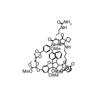 COC(=O)C1C(c2ccccc2)C2(c3ccc(OC)cc3)Oc3cc(O[C@@H]4O[C@@H]([C@H]5COC(c6ccc(NC(=O)[C@H](CCCNC(N)=O)NC(=O)C7(C(=O)NCCCCCN8C(=O)C=CC8=O)CCC7)cc6)O5)CO[C@H]4OC)cc(OC)c3C2(O)[C@H]1O